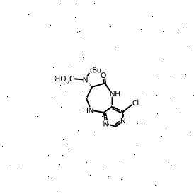 CC(C)(C)N(C(=O)O)[C@H]1CNc2ncnc(Cl)c2NC1=O